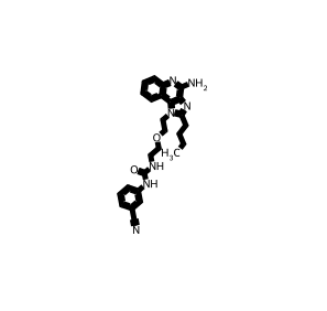 CCCCc1nc2c(N)nc3ccccc3c2n1CCOCCNC(=O)Nc1cccc(C#N)c1